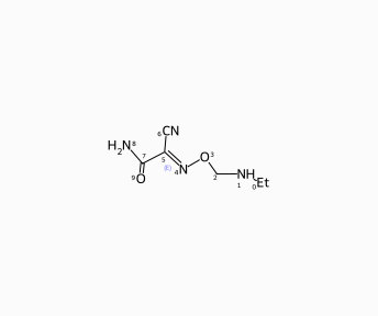 CCNCO/N=C(\C#N)C(N)=O